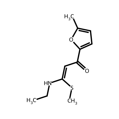 CCNC(=CC(=O)c1ccc(C)o1)SC